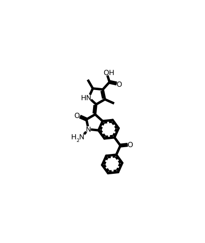 CC1=C(C(=O)O)C(C)NC1=C1C(=O)N(N)c2cc(C(=O)c3ccccc3)ccc21